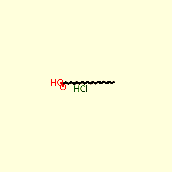 CCC=CCC=CCC=CCC=CCC=CCCCC(=O)O.Cl